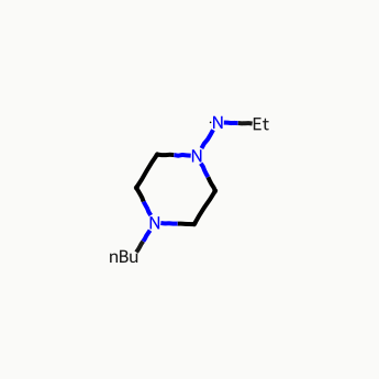 CCCCN1CCN([N]CC)CC1